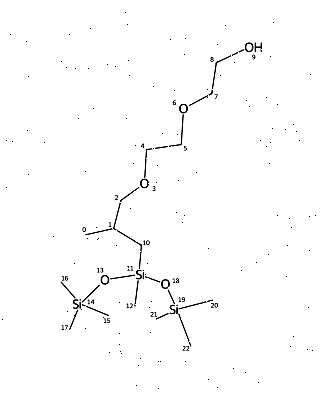 CC(COCCOCCO)C[Si](C)(O[Si](C)(C)C)O[Si](C)(C)C